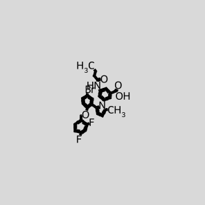 CCCC(=O)Nc1cc(C(=O)O)cc(-n2c(C)ccc2-c2cc(Br)ccc2OCc2ccc(F)cc2F)c1